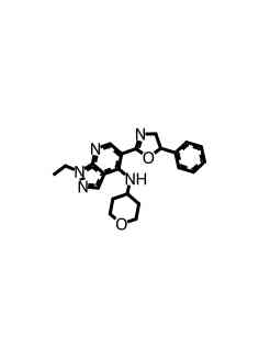 CCn1ncc2c(NC3CCOCC3)c(C3=NCC(c4ccccc4)O3)cnc21